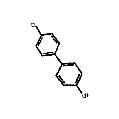 [CH]c1ccc(-c2ccc(Cl)cc2)cc1